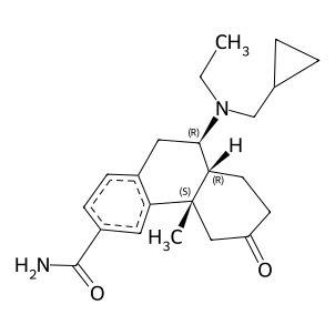 CCN(CC1CC1)[C@@H]1Cc2ccc(C(N)=O)cc2[C@@]2(C)CC(=O)CC[C@@H]12